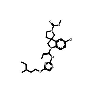 CC=C(Nc1ncc(SCCC(C)CC)s1)N1CC2(CCN(C(=O)OC)C2)c2cc(Cl)ccc21